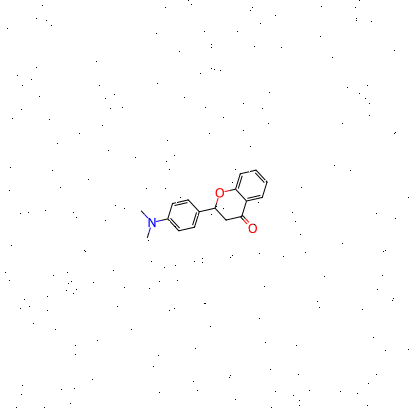 CN(C)c1ccc(C2CC(=O)c3ccccc3O2)cc1